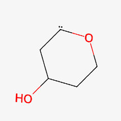 OC1C[C]OCC1